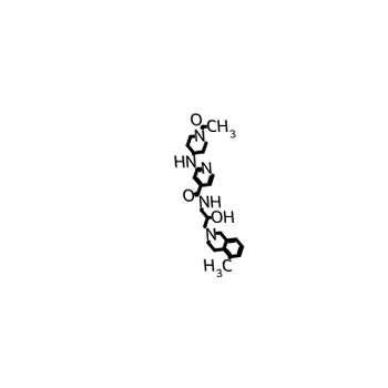 CC(=O)N1CCC(Nc2cc(C(=O)NCC(O)CN3CCc4c(C)cccc4C3)ccn2)CC1